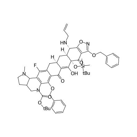 C=CCN[C@@H]1c2onc(OCc3ccccc3)c2C(=O)[C@@]2(O[Si](C)(C)C(C)(C)C)C(O)=C3C(=O)c4c(c(F)c5c(c4OCc4ccccc4)N(C(=O)OC(C)(C)C)CC4CCN(C)C54)C[C@H]3C[C@@H]12